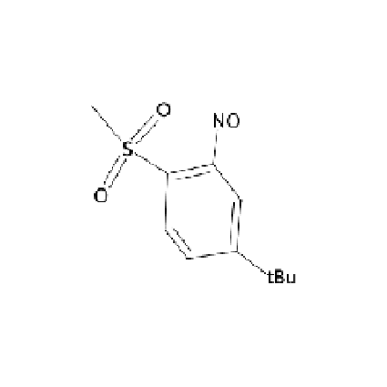 CC(C)(C)c1ccc(S(C)(=O)=O)c(N=O)c1